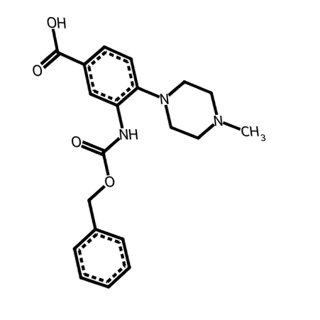 CN1CCN(c2ccc(C(=O)O)cc2NC(=O)OCc2ccccc2)CC1